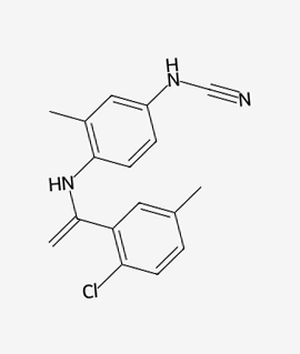 C=C(Nc1ccc(NC#N)cc1C)c1cc(C)ccc1Cl